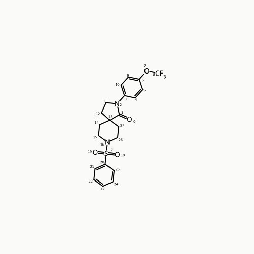 O=C1N(c2ccc(OC(F)(F)F)cc2)CCC12CCN(S(=O)(=O)c1ccccc1)CC2